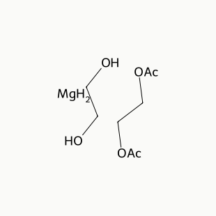 CC(=O)OCCOC(C)=O.OCCO.[MgH2]